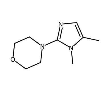 Cc1cnc(N2CCOCC2)n1C